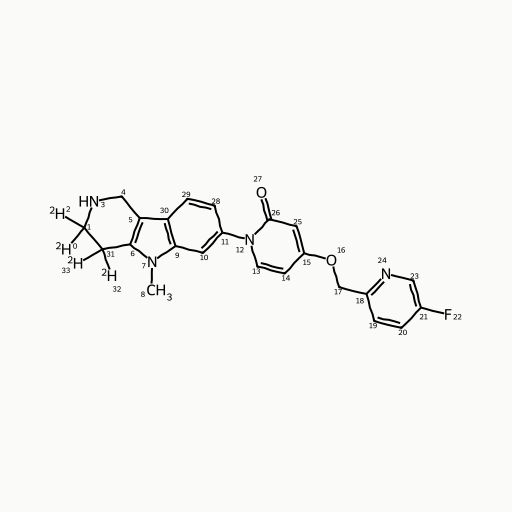 [2H]C1([2H])NCc2c(n(C)c3cc(-n4ccc(OCc5ccc(F)cn5)cc4=O)ccc23)C1([2H])[2H]